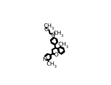 COCCN(C)c1ccc(C(CC(=O)c2ccnc(C)c2)c2ccccc2C)cc1